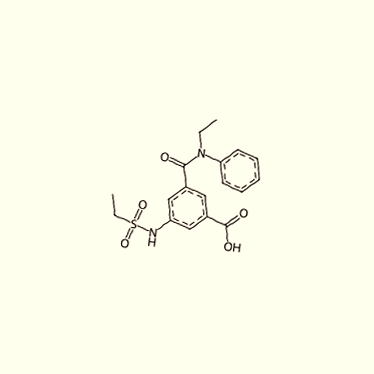 CCN(C(=O)c1cc(NS(=O)(=O)CC)cc(C(=O)O)c1)c1ccccc1